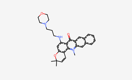 Cn1c2cc3ccccc3cc2c(=O)c2c(NCCCN3CCOCC3)cc3c(c21)C=CC(C)(C)O3